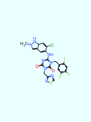 CN1C=C2C=C(Nc3nc(=O)n(Cc4ncsn4)c(=O)n3Cc3cc(F)c(F)cc3F)C(Cl)=CC2N1